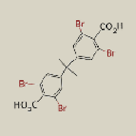 CC(C)(c1cc(Br)c(C(=O)O)c(Br)c1)c1cc(Br)c(C(=O)O)c(Br)c1